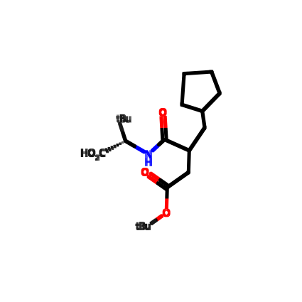 CC(C)(C)OC(=O)CC(CC1CCCC1)C(=O)N[C@H](C(=O)O)C(C)(C)C